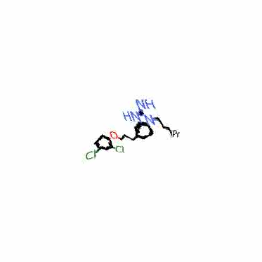 CC(C)CCCn1c(=N)[nH]c2cc(CCCOc3ccc(Cl)cc3Cl)ccc21